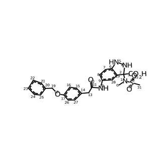 CN(C1(C(=O)O)NNc2ccc(NC(=O)Cc3ccc(OCc4ccccc4)cc3)cc21)S(C)(=O)=O